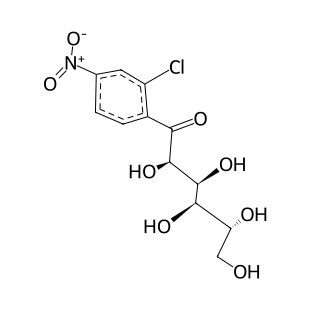 O=C(c1ccc([N+](=O)[O-])cc1Cl)[C@H](O)[C@@H](O)[C@H](O)[C@H](O)CO